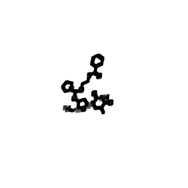 [2H]C[C@H]1O[C@@H](n2cc(C)c(=O)[nH]c2=O)CC1OP(OCCSC(=O)c1ccccc1)N1CCCC1